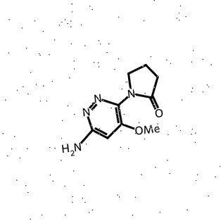 COc1cc(N)nnc1N1CCCC1=O